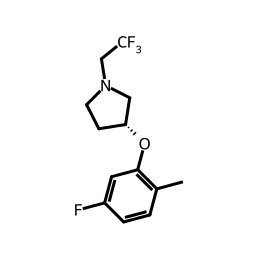 Cc1ccc(F)cc1O[C@@H]1CCN(CC(F)(F)F)C1